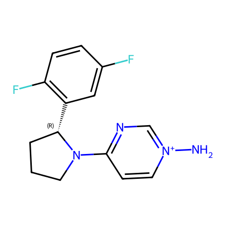 N[n+]1ccc(N2CCC[C@@H]2c2cc(F)ccc2F)nc1